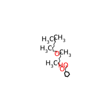 CC(C)=CCCC(C)CCOC(C)CCCC(C)CCOC(CO)c1ccccc1